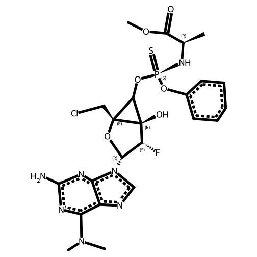 COC(=O)[C@@H](C)N[P@@](=S)(Oc1ccccc1)OC1[C@@]2(CCl)O[C@@H](n3cnc4c(N(C)C)nc(N)nc43)[C@@H](F)[C@@]12O